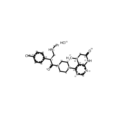 CC(C)NC[C@@H](C(=O)N1CCN(c2ncnc3c2N(C)CC(=O)N3)CC1)c1ccc(Cl)cc1.Cl